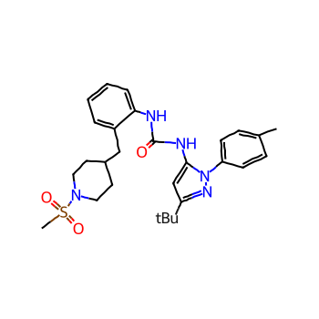 Cc1ccc(-n2nc(C(C)(C)C)cc2NC(=O)Nc2ccccc2CC2CCN(S(C)(=O)=O)CC2)cc1